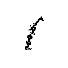 CCCCCCCCCCCCc1cnc(-c2ccc(OC(=O)c3ccc(OCCCCC4CC4)c(F)c3F)cc2)nc1